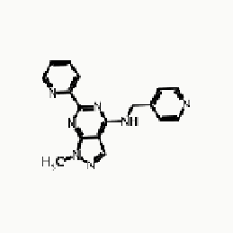 Cn1ncc2c(NCc3ccncc3)nc(-c3ccccn3)nc21